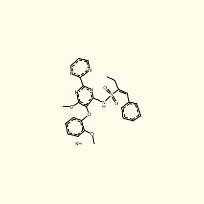 CCC(=Cc1ccccc1)S(=O)(=O)Nc1nc(-c2ncccn2)nc(OC)c1Oc1ccccc1OC.[KH]